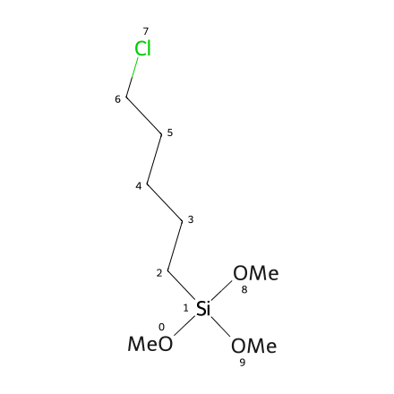 CO[Si](CCCCCCl)(OC)OC